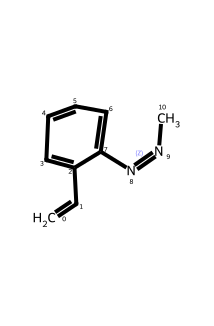 C=Cc1ccccc1/N=N\C